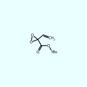 C=CC1(C(=O)OC(C)(C)C)OO1